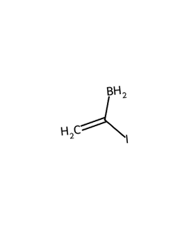 BC(=C)I